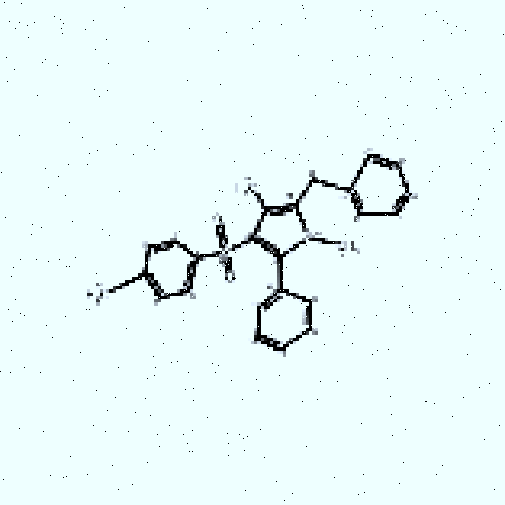 Cc1ccc(S(=O)(=O)c2c(C)c(Cc3ccccc3)n(C)c2-c2ccccc2)cc1